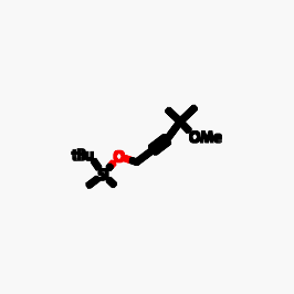 COC(C)(C)C#CCO[Si](C)(C)C(C)(C)C